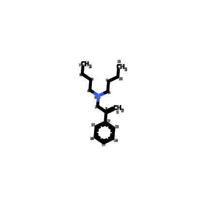 C=C(CN(CCCC)CCCC)c1ccccc1